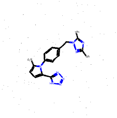 CCCc1nc(CCC)n(Cc2ccc(-n3c(-c4nnn[nH]4)ccc3[N+](=O)[O-])cc2)n1